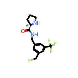 O=C(NCc1cc(CF)cc(C(F)(F)F)c1)[C@H]1CCCN1